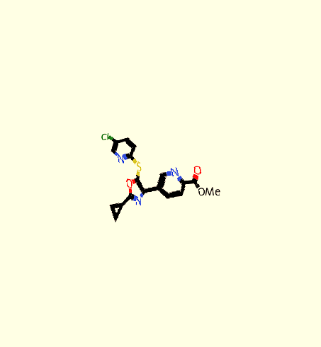 COC(=O)c1ccc(-c2nc(C3CC3)oc2Sc2ccc(Cl)cn2)cn1